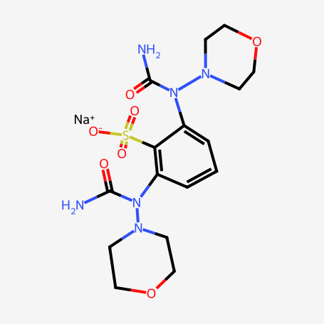 NC(=O)N(c1cccc(N(C(N)=O)N2CCOCC2)c1S(=O)(=O)[O-])N1CCOCC1.[Na+]